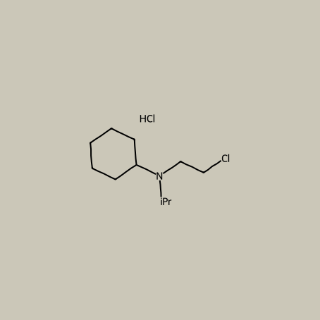 CC(C)N(CCCl)C1CCCCC1.Cl